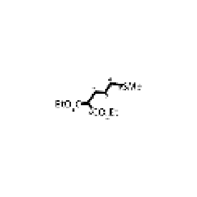 CCOC(=O)C(CCCSC)C(=O)OCC